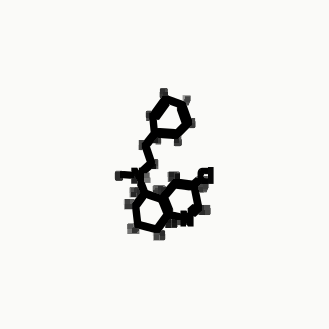 CN(CCc1ccccc1)C1CCCc2ncc(Cl)cc21